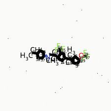 CC(C)c1ccc(N(C)CC(C)(C)c2ccc(C(C)(C)c3cccc(OC(F)(F)F)c3)cc2C(F)(F)F)cc1